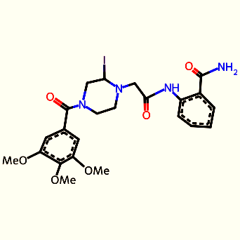 COc1cc(C(=O)N2CCN(CC(=O)Nc3ccccc3C(N)=O)C(I)C2)cc(OC)c1OC